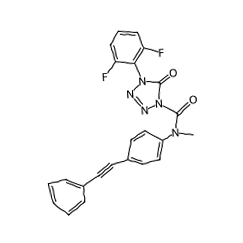 CN(C(=O)n1nnn(-c2c(F)cccc2F)c1=O)c1ccc(C#Cc2ccccc2)cc1